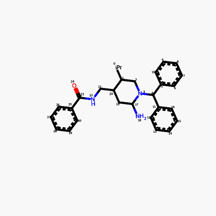 CC(C)C1CN(C(c2ccccc2)c2ccccc2)C(N)CC1CNC(=O)c1ccccc1